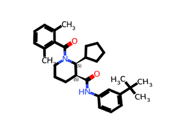 Cc1cccc(C)c1C(=O)N1CCC[C@H](C(=O)Nc2cccc(C(C)(C)C)c2)[C@@H]1C1CCCC1